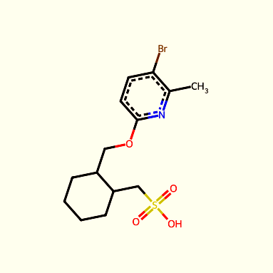 Cc1nc(OCC2CCCCC2CS(=O)(=O)O)ccc1Br